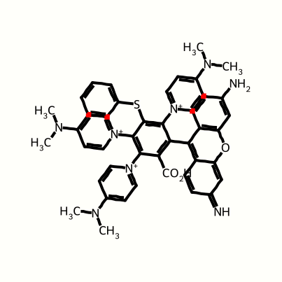 CN(C)c1cc[n+](-c2c(Sc3ccccc3)c(-[n+]3ccc(N(C)C)cc3)c(-[n+]3ccc(N(C)C)cc3)c(C(=O)O)c2-c2c3ccc(=N)cc-3oc3cc(N)ccc23)cc1